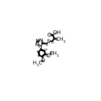 COc1ccc(-n2nnnc2CSCC(C)C(=O)O)cc1OC